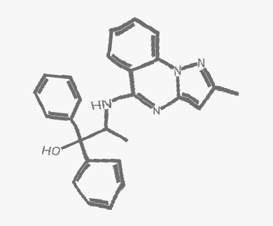 Cc1cc2nc(NC(C)C(O)(c3ccccc3)c3ccccc3)c3ccccc3n2n1